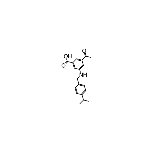 CC(=O)c1cc(NCc2ccc(C(C)C)cc2)cc(C(=O)O)c1